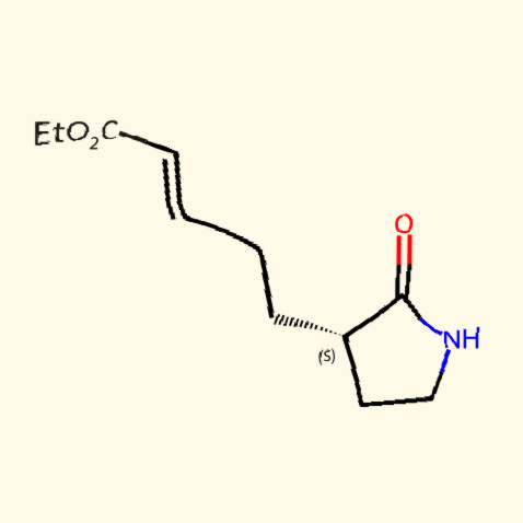 CCOC(=O)C=CCC[C@H]1CCNC1=O